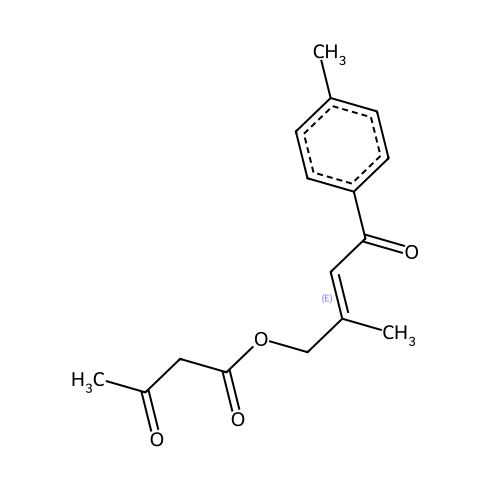 CC(=O)CC(=O)OC/C(C)=C/C(=O)c1ccc(C)cc1